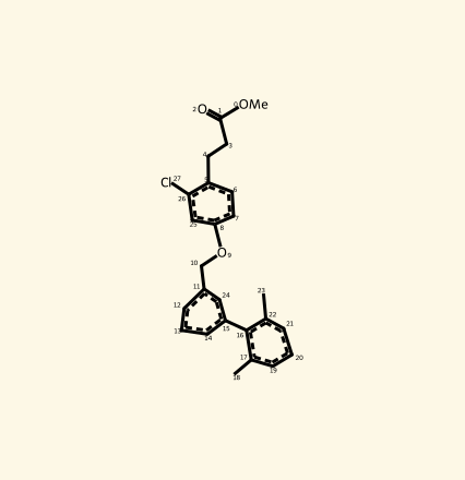 COC(=O)CCc1ccc(OCc2cccc(-c3c(C)cccc3C)c2)cc1Cl